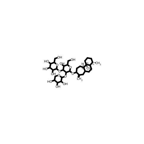 C=C1CC2CCC3[C@@H](C)CCC[C@@]3(C)[C@@H]2CCC1OC1OC(CO)C(O)C(OC2OC(CO)C(O)C(O)C2O)C1OC1OCC(O)C(O)C1O